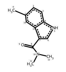 Cc1ccc2[nH]cc(C(=O)N(C)C)c2c1